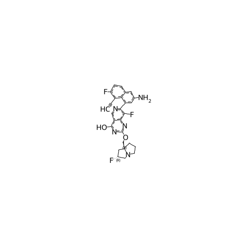 C#Cc1c(F)ccc2cc(N)cc(-c3ncc4c(O)nc(OC[C@@]56CCCN5C[C@H](F)C6)nc4c3F)c12